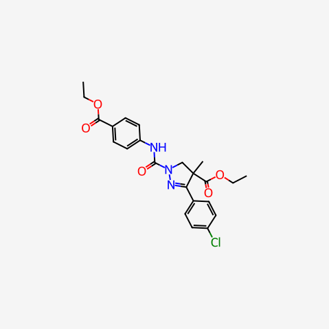 CCOC(=O)c1ccc(NC(=O)N2CC(C)(C(=O)OCC)C(c3ccc(Cl)cc3)=N2)cc1